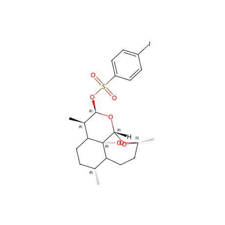 C[C@@H]1CCC2[C@@H](C)[C@@H](OS(=O)(=O)c3ccc(I)cc3)O[C@@H]3O[C@]4(C)CCC1[C@@]23OO4